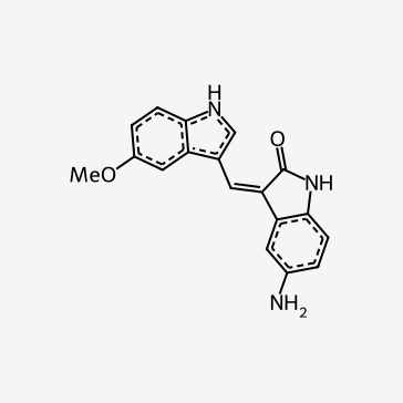 COc1ccc2[nH]cc(C=C3C(=O)Nc4ccc(N)cc43)c2c1